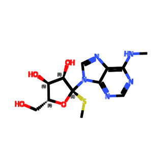 CNc1ncnc2c1ncn2[C@]1(SC)O[C@H](CO)[C@@H](O)[C@H]1O